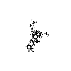 NS(=O)(=O)c1cc(NC(=O)Cc2ccccc2Cl)cc2cn(CCOC3CC3)nc12